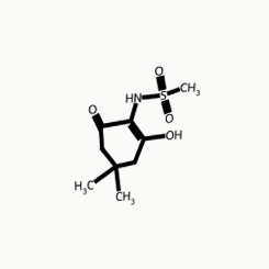 CC1(C)CC(=O)C(NS(C)(=O)=O)=C(O)C1